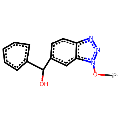 CC(C)On1nnc2ccc(C(O)c3ccccc3)cc21